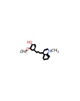 CN1C=C/C(=C\C=C\c2ccc(O)c(OC=O)c2)c2ccccc21